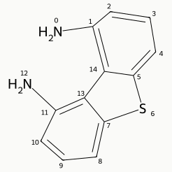 Nc1cccc2sc3cccc(N)c3c12